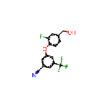 N#Cc1cc(Oc2ccc(CO)cc2F)cc(C(F)(F)F)c1